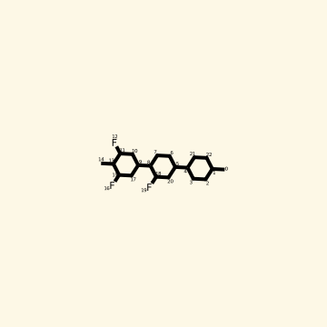 CC1CCC(C2CCC(C3CC(F)C(C)C(F)C3)C(F)C2)CC1